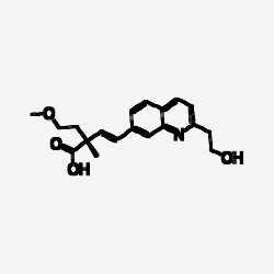 COCC[C@](C)(/C=C/c1ccc2ccc(CCO)nc2c1)C(=O)O